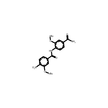 CCCCOc1cc(C(N)=O)ccc1NC(=O)c1ccc([N+](=O)[O-])c(OCCCC)c1